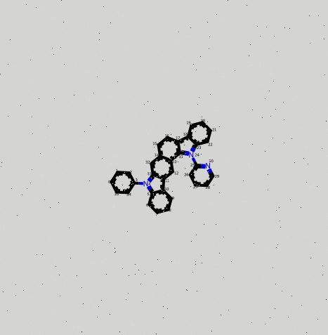 c1ccc(-n2c3ccccc3c3cc4c(ccc5c6ccccc6n(-c6ccccn6)c45)cc32)cc1